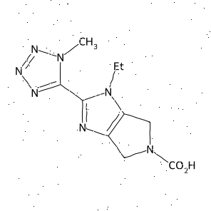 CCn1c(-c2nnnn2C)nc2c1CN(C(=O)O)C2